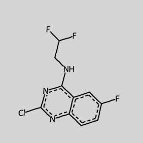 Fc1ccc2nc(Cl)nc(NCC(F)F)c2c1